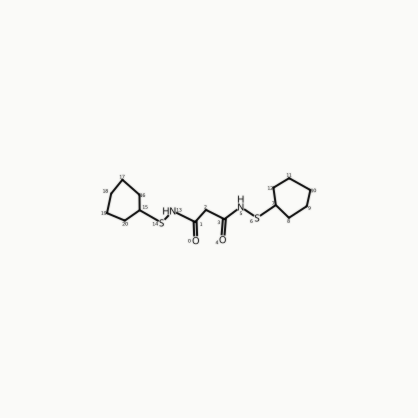 O=C(CC(=O)NSC1CCCCC1)NSC1CCCCC1